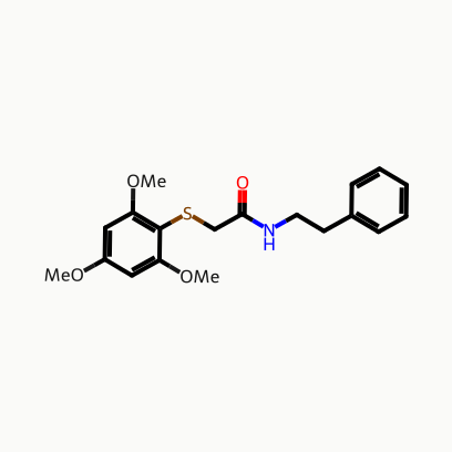 COc1cc(OC)c(SCC(=O)NCCc2ccccc2)c(OC)c1